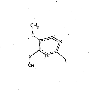 COc1cnc(Cl)nc1SC